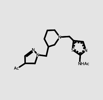 CC(=O)Nc1ncc(CN2CCCC(CN3CC(C(C)=O)C=N3)C2)s1